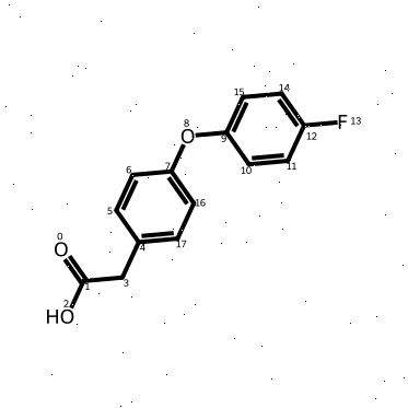 O=C(O)Cc1ccc(Oc2ccc(F)cc2)cc1